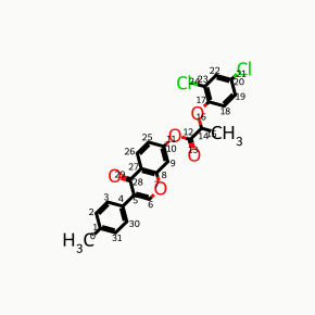 Cc1ccc(-c2coc3cc(OC(=O)C(C)Oc4ccc(Cl)cc4Cl)ccc3c2=O)cc1